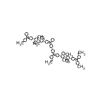 C=Cc1cccc(N(c2ccc(C)cc2)c2ccc(-c3cc(C)c(-c4c(C)cc(-c5ccc(N(c6ccc(-c7ccc(N(c8ccccc8)c8ccc(-c9cc(C)c(-c%10c(C)cc(-c%11ccc(N(c%12ccccc%12)c%12ccc(C)cc%12)cc%11)c%11ccccc%10%11)c%10ccccc9%10)cc8)cc7)cc6)c6cccc(C=C)c6)cc5)c5ccccc45)c4ccccc34)cc2)c1